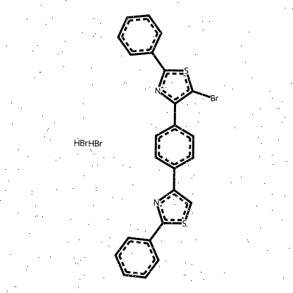 Br.Br.Brc1sc(-c2ccccc2)nc1-c1ccc(-c2csc(-c3ccccc3)n2)cc1